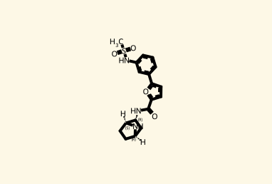 CS(=O)(=O)Nc1cccc(-c2ccc(C(=O)N[C@@H]3C[C@H]4CC[C@@H]3N4)o2)c1